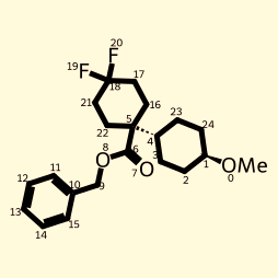 CO[C@H]1CC[C@H](C2(C(=O)OCc3ccccc3)CCC(F)(F)CC2)CC1